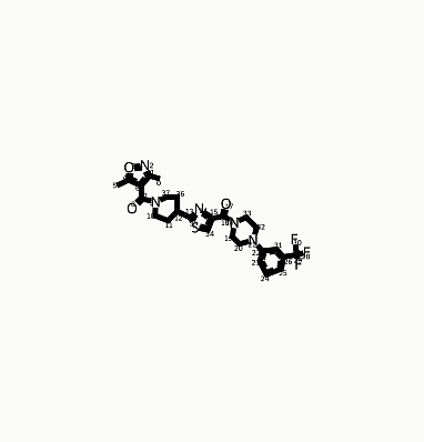 Cc1noc(C)c1C(=O)N1CCC(c2nc(C(=O)N3CCN(c4cccc(C(F)(F)F)c4)CC3)cs2)CC1